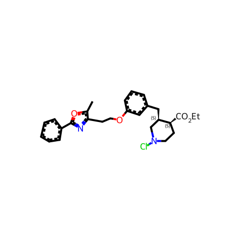 CCOC(=O)[C@H]1CCN(Cl)C[C@H]1Cc1cccc(OCCc2nc(-c3ccccc3)oc2C)c1